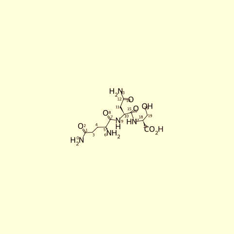 NC(=O)CC[C@H](N)C(=O)N[C@@H](CC(N)=O)C(=O)N[C@@H](CO)C(=O)O